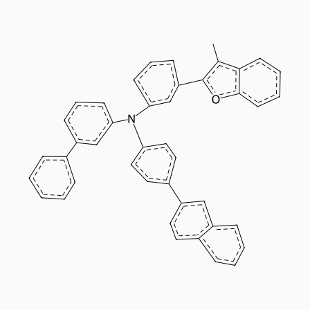 Cc1c(-c2cccc(N(c3ccc(-c4ccc5ccccc5c4)cc3)c3cccc(-c4ccccc4)c3)c2)oc2ccccc12